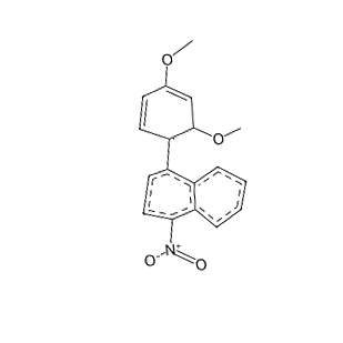 COC1=CC(OC)[C](c2ccc([N+](=O)[O-])c3ccccc23)C=C1